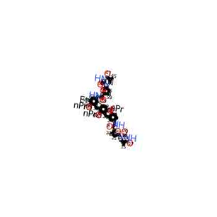 CCCOc1ccc(NC(=O)[C@H]2O[C@@H](n3cc(C)c(=O)[nH]c3=O)C[C@@H]2C)cc1Cc1cccc(Cc2cc(NC(=O)[C@H]3O[C@@H](n4cc(C)c(=O)[nH]c4=O)C[C@@H]3C)cc(CC)c2OCCC)c1OCCC